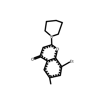 [CH2]Cc1cc(C)cc2c(=O)cc(N3CCCCC3)oc12